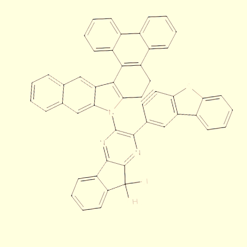 CC1(C)c2ccccc2-c2nc(-n3c4c(c5cc6ccccc6cc53)-c3c(c5ccccc5c5ccccc35)CC4)c(-c3c#cc4sc5ccccc5c4c3)nc21